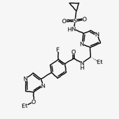 CCOc1cncc(-c2ccc(C(=O)N[C@@H](CC)c3cncc(NS(=O)(=O)C4CC4)n3)c(F)c2)n1